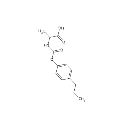 CCCc1ccc(OC(=O)NC(C)C(=O)O)cc1